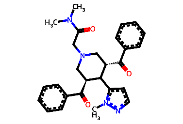 CN(C)C(=O)CN1C[C@H](C(=O)c2ccccc2)C(c2ccnn2C)[C@@H](C(=O)c2ccccc2)C1